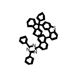 c1ccc(-c2nc(-c3ccccc3)nc(-c3cccc4c(-c5cccc6sc7ccc(C8(c9ccccc9)c9ccccc9-c9ccccc98)cc7c56)cccc34)n2)cc1